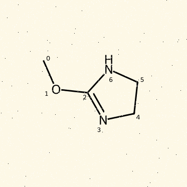 COC1=NCCN1